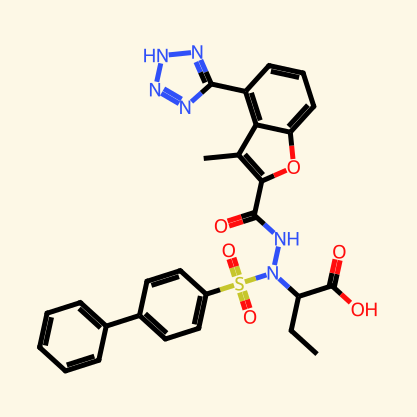 CCC(C(=O)O)N(NC(=O)c1oc2cccc(-c3nn[nH]n3)c2c1C)S(=O)(=O)c1ccc(-c2ccccc2)cc1